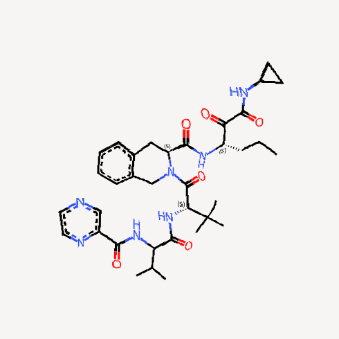 CCC[C@H](NC(=O)[C@@H]1Cc2ccccc2CN1C(=O)[C@@H](NC(=O)C(NC(=O)c1cnccn1)C(C)C)C(C)(C)C)C(=O)C(=O)NC1CC1